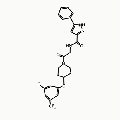 O=C(NCC(=O)N1CCC(Oc2cc(F)cc(C(F)(F)F)c2)CC1)c1cc(-c2ccccc2)[nH]n1